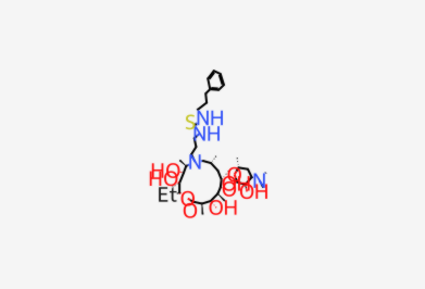 CC[C@H]1OC(=O)[C@H](C)[C@@H](O)[C@H](C)[C@@H](O[C@@H]2O[C@H](C)C[C@H](N(C)C)[C@H]2O)[C@](C)(O)C[C@@H](C)CN(CCCNC(=S)NCCCc2ccccc2)[C@H](C)[C@@H](O)[C@]1(C)O